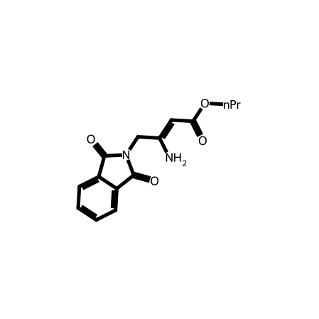 CCCOC(=O)/C=C(\N)CN1C(=O)c2ccccc2C1=O